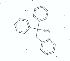 NC(Cc1ccccn1)(c1ccccc1)c1ccccc1